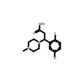 CNC(=O)CC(c1cc(Cl)ccc1F)N1CCN(C)CC1